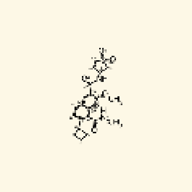 CNC(=O)c1c(C2CCC2)ccc2cc(C(=O)N[C@@H]3C=CS(=O)(=O)C3)c(OC)nc12